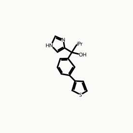 CC(C)C(O)(c1cccc(-c2ccsc2)c1)c1c[nH]cn1